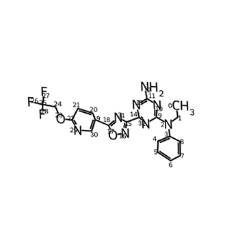 CCN(c1ccccc1)c1nc(N)nc(-c2noc(-c3ccc(OCC(F)(F)F)nc3)n2)n1